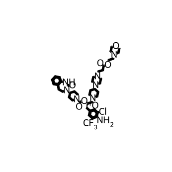 Nc1c(Cl)cc(C[C@@H](OC(=O)N2CCC(N3CCc4ccccc4NC3=O)CC2)C(=O)N2CCC(N3CCN(CCC(=O)OCCN4CCOCC4)CC3)CC2)cc1C(F)(F)F